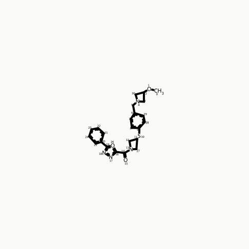 COC1CN(Cc2ccc(SC3CN(C(=O)c4nnc(-c5ccccc5)o4)C3)cc2)C1